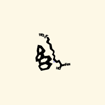 CCCCCCC(O)C/C=C\CCCCCCCC(=O)O.c1ccc2c(c1)ccc1c3c(ccc12)CCCC3